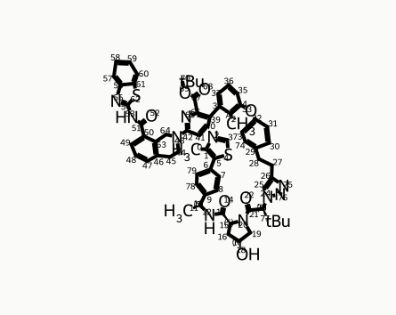 Cc1ncsc1-c1ccc([C@H](C)NC(=O)[C@@H]2C[C@@H](O)CN2C(=O)[C@@H](n2cc(CCc3ccc(Oc4cccc(-c5ccc(N6CCc7cccc(C(=O)Nc8nc9ccccc9s8)c7C6)nc5C(=O)OC(C)(C)C)c4C)cc3)nn2)C(C)(C)C)cc1